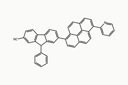 N#Cc1ccc2c3ccc(-c4ccc5ccc6c(-c7ccccn7)ccc7ccc4c5c76)cc3n(-c3ccccc3)c2c1